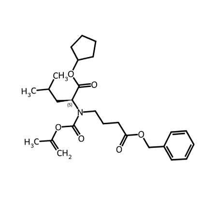 C=C(C)OC(=O)N(CCCC(=O)OCc1ccccc1)[C@@H](CC(C)C)C(=O)OC1CCCC1